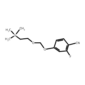 C[Si](C)(C)CCOCOc1ccc(C#N)c(F)c1